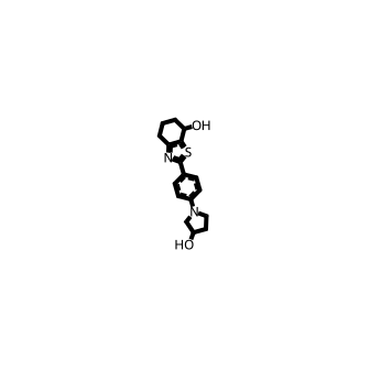 OC1CCN(c2ccc(-c3nc4c(s3)C(O)CCC4)cc2)C1